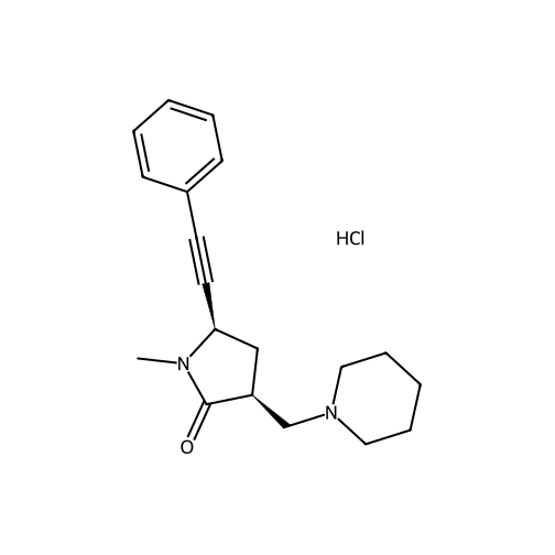 CN1C(=O)[C@H](CN2CCCCC2)C[C@@H]1C#Cc1ccccc1.Cl